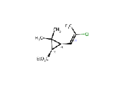 CCOC(=O)[C@@H]1[C@H](/C=C(/Cl)C(F)(F)F)C1(C)C